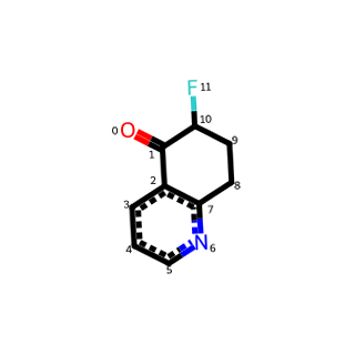 O=C1c2cccnc2CCC1F